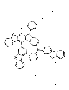 c1ccc(N(c2ccc3c(c2)sc2ccccc23)c2ccc3c(c2)c2c(-c4ccc5c(c4)sc4ccccc45)c4c(cc2n3-c2ccccc2)oc2ccccc24)cc1